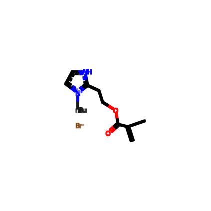 C=C(C)C(=O)OCCc1[nH]cc[n+]1CCCC.[Br-]